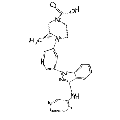 C[C@H]1CN(C(=O)O)CCN1c1cncc(-n2nc(Nc3cnccn3)c3ccccc32)c1